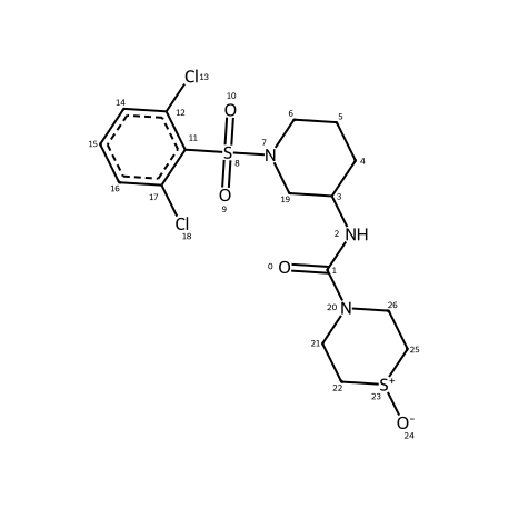 O=C(NC1CCCN(S(=O)(=O)c2c(Cl)cccc2Cl)C1)N1CC[S+]([O-])CC1